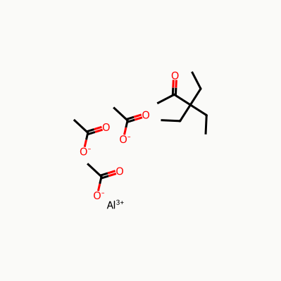 CC(=O)[O-].CC(=O)[O-].CC(=O)[O-].CCC(CC)(CC)C(C)=O.[Al+3]